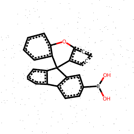 OB(O)c1ccc2c(c1)C1(c3ccccc3Oc3ccccc31)c1ccccc1-2